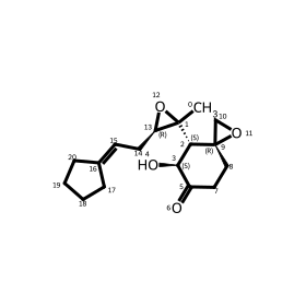 CC1([C@H]2[C@H](O)C(=O)CC[C@]23CO3)O[C@@H]1CC=C1CCCC1